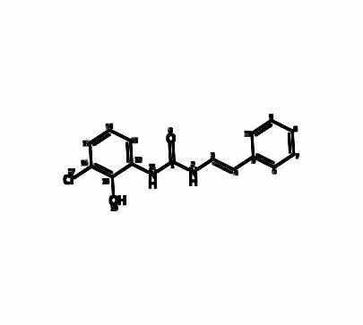 O=C(NC=Cc1ccccc1)Nc1cccc(Cl)c1O